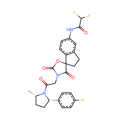 C[C@H]1CC[C@@H](c2ccc(F)cc2)N1C(=O)CN1C(=O)OC2(CCc3cc(NC(=O)C(F)F)ccc32)C1=O